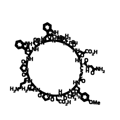 CCCC[C@H]1C(=O)N(C)[C@@H](CCCC)C(=O)N[C@@H](CCC(=O)O)C(=O)N[C@H](C(=O)NCC(N)=O)CSCC(=O)N[C@@H](CCc2ccc(OC)cc2)C(=O)N(C)[C@@H](C)C(=O)N[C@@H](CC(=O)O)C(=O)N2CCCC2C(=O)N[C@@H](CN)C(=O)N[C@@H](CCCCN)C(=O)N2CCCC2C(=O)N[C@@H](Cc2c[nH]c3ccccc23)C(=O)N[C@@H](CC(=O)O)C(=O)N[C@@H](Cc2c[nH]c3ccccc23)C(=O)N1C